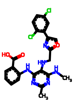 CNc1nc(C)nc(Nc2ccccc2C(=O)O)c1NCc1nc(-c2cc(Cl)ccc2Cl)co1